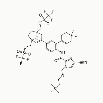 CC1(C)CC=C(c2cc(C3=CC4(COS(=O)(=O)C(F)(F)F)CCC(COS(=O)(=O)C(F)(F)F)(C3)O4)ccc2NC(=O)c2nc(C#N)cn2COCC[Si](C)(C)C)CC1